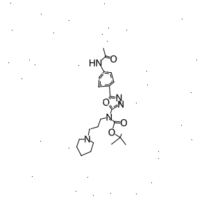 CC(=O)Nc1ccc(-c2nnc(N(CCCN3CCCCC3)C(=O)OC(C)(C)C)o2)cc1